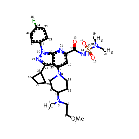 COCCN(C)C1CCN(c2cc(C(=O)NS(=O)(=O)N(C)C)nc3c2c(C2CCC2)nn3-c2ccc(F)cc2)CC1